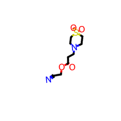 N#CCOC(=O)CCN1CCS(=O)(=O)CC1